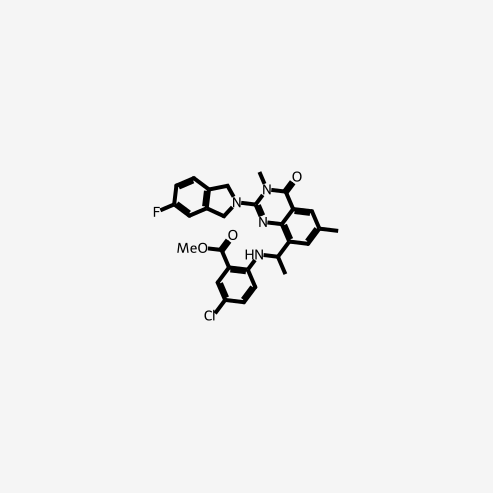 COC(=O)c1cc(Cl)ccc1NC(C)c1cc(C)cc2c(=O)n(C)c(N3Cc4ccc(F)cc4C3)nc12